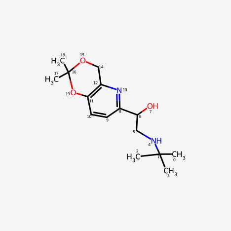 CC(C)(C)NCC(O)c1ccc2c(n1)COC(C)(C)O2